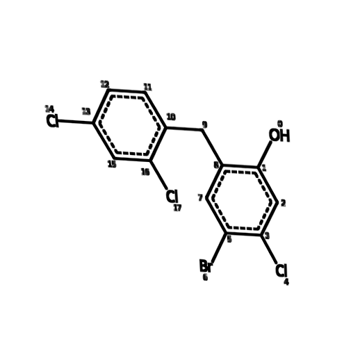 Oc1cc(Cl)c(Br)cc1Cc1ccc(Cl)cc1Cl